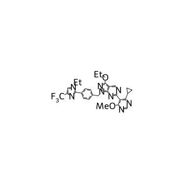 CCOc1nn(Cc2ccc(-c3nc(C(F)(F)F)cn3CC)cc2)c2nc(-c3c(OC)ncnc3C3CC3)ncc12